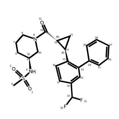 CS(=O)(=O)N[C@H]1CCCN(C(=O)[C@@H]2C[C@H]2c2ccc(C(F)F)cc2-c2ccccc2)C1